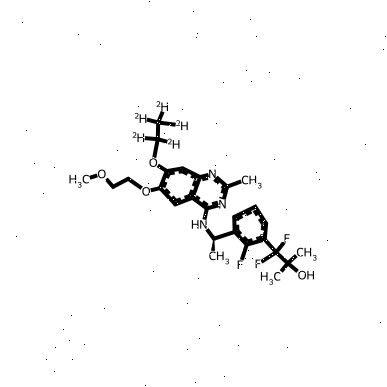 [2H]C([2H])([2H])C([2H])([2H])Oc1cc2nc(C)nc(N[C@H](C)c3cccc(C(F)(F)C(C)(C)O)c3F)c2cc1OCCOC